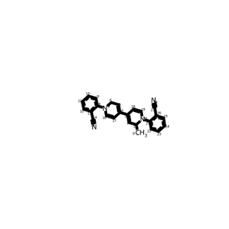 CC1C=C(C2=CCN(c3ccccc3C#N)C=C2)C=CN1c1ccccc1C#N